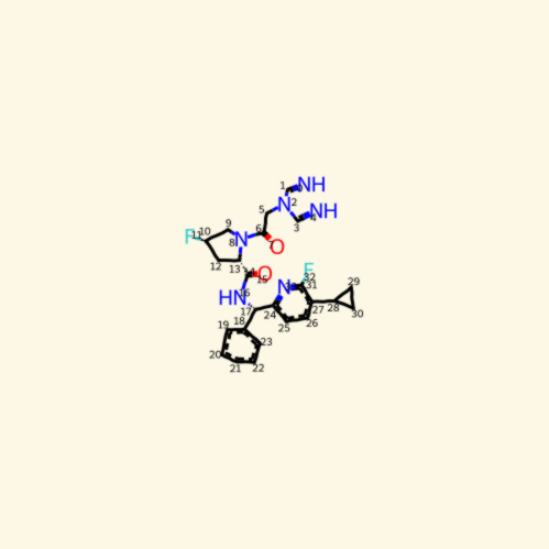 N=CN(C=N)CC(=O)N1C[C@H](F)C[C@H]1C(=O)N[C@@H](c1ccccc1)c1ccc(C2CC2)c(F)n1